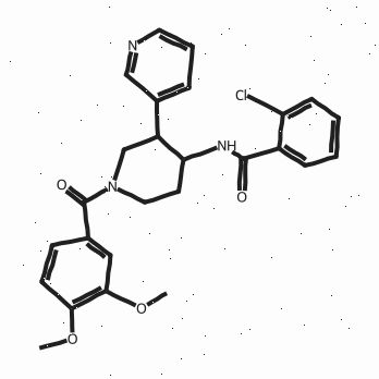 COc1ccc(C(=O)N2CCC(NC(=O)c3ccccc3Cl)C(c3cccnc3)C2)cc1OC